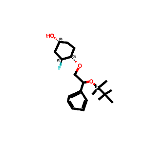 CC(C)(C)[Si](C)(C)OC(CO[C@H]1CC[C@@H](O)C[C@@H]1F)c1ccccc1